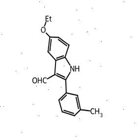 CCOc1ccc2[nH]c(-c3cccc(C)c3)c(C=O)c2c1